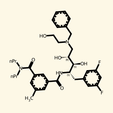 CCCN(CCC)C(=O)c1cc(C)cc(C(=O)N[C@@H](Cc2cc(F)cc(F)c2)[C@H](O)[C@H](O)CN(CCO)Cc2ccccc2)c1